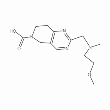 COCCN(C)Cc1ncc2c(n1)CCN(C(=O)O)C2